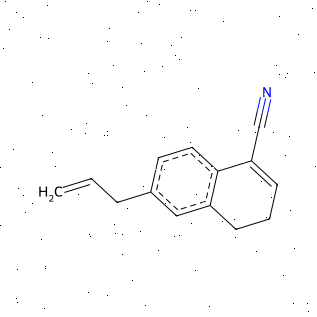 C=CCc1ccc2c(c1)CCC=C2C#N